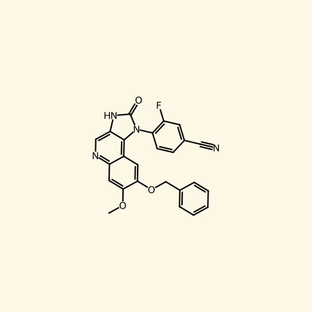 COc1cc2ncc3[nH]c(=O)n(-c4ccc(C#N)cc4F)c3c2cc1OCc1ccccc1